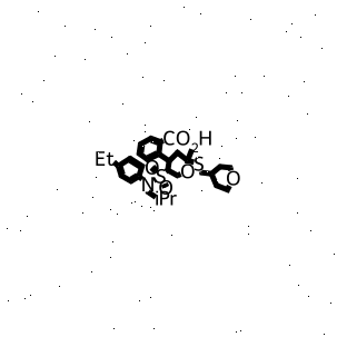 CCc1ccc(N(CC(C)C)S(=O)(=O)C2COC(C)(SCC3CCOCC3)CC2c2ccccc2C(=O)O)cc1